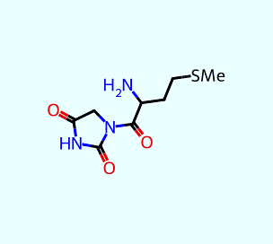 CSCCC(N)C(=O)N1CC(=O)NC1=O